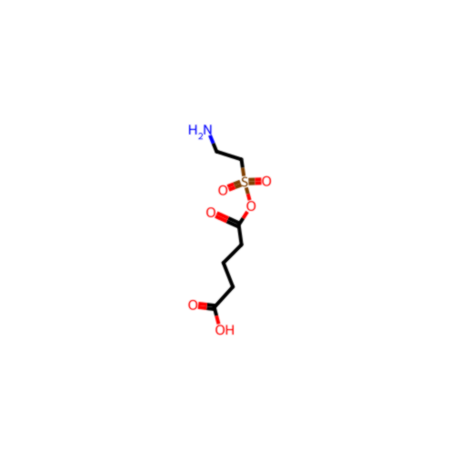 NCCS(=O)(=O)OC(=O)CCCC(=O)O